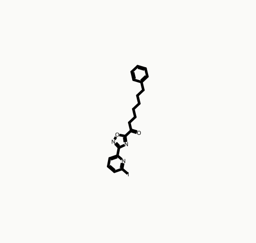 O=C(CCCCCCc1ccccc1)c1nc(-c2cccc(I)n2)no1